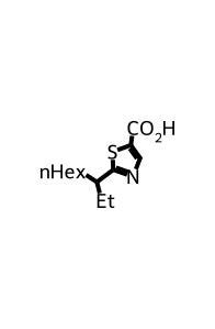 CCCCCCC(CC)c1ncc(C(=O)O)s1